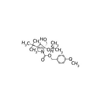 COc1ccc(COC(=O)N2C[C@@H](C(C)(C)C)C[C@@]2(CO)O[SiH](C)C)cc1